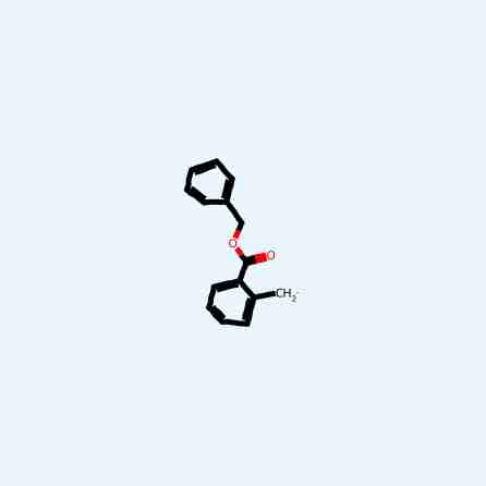 [CH2]c1ccccc1C(=O)OCc1ccccc1